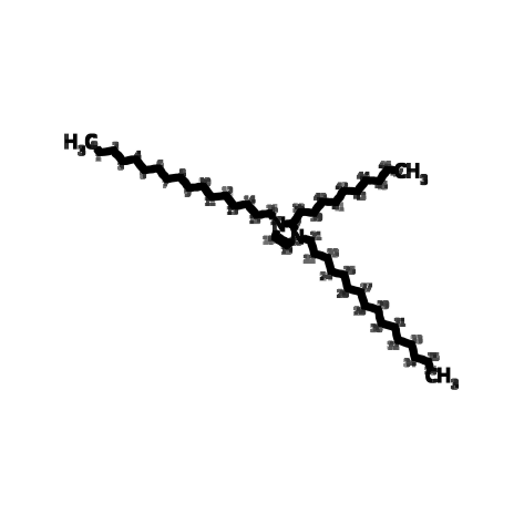 CCCCCCCCCCCCCCCCCN1C=CN(CCCCCCCCCCCCCCCC)C1CCCCCCCCCC